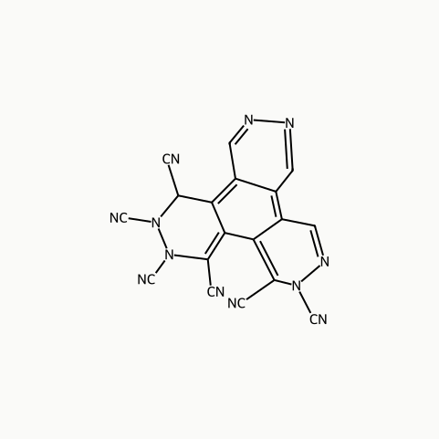 N#CC1=c2c(c3cnncc3c3c2=C(C#N)N(C#N)N(C#N)C3C#N)C=NN1C#N